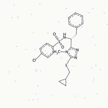 Cn1c(SCC2CC2)nnc1[C@@H](Cc1ccccc1)NS(=O)(=O)c1ccc(Cl)cc1